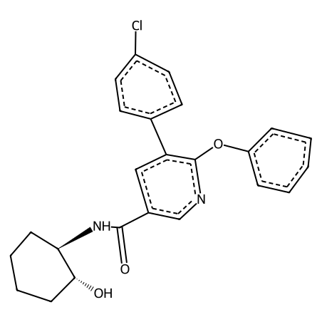 O=C(N[C@@H]1CCCC[C@H]1O)c1cnc(Oc2ccccc2)c(-c2ccc(Cl)cc2)c1